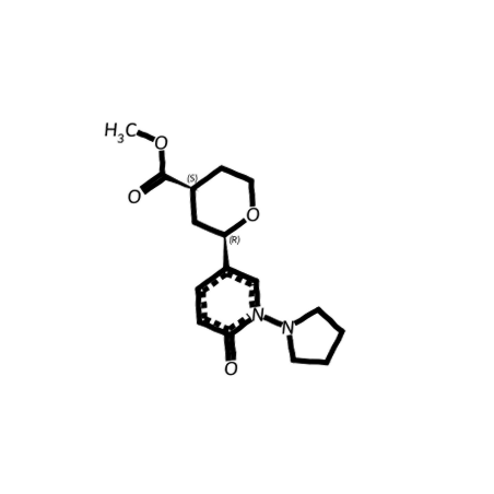 COC(=O)[C@H]1CCO[C@@H](c2ccc(=O)n(N3CCCC3)c2)C1